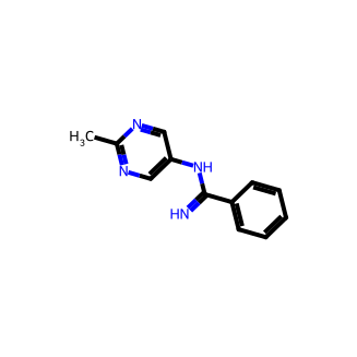 Cc1ncc(NC(=N)c2ccccc2)cn1